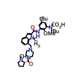 COc1c(NC(=O)c2cc3cccc(CN4CCN(C(=O)[C@@H]5CCCN5C)CC4)c3n2C)cc(C(C)(C)C)cc1N(C(=O)O)C(C)(C)C